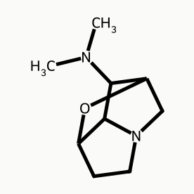 CN(C)C1C2CN3CCC(O2)C13